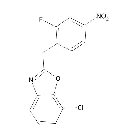 O=[N+]([O-])c1ccc(Cc2nc3cccc(Cl)c3o2)c(F)c1